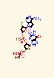 Nc1nc2c(nnn2[C@@H]2S[C@H](COP(=O)(O)S)CC2OP(=O)(S)OC[C@@H]2C[C@H](F)[C@H](n3ccc4c(N)ncnc43)O2)c(=O)[nH]1